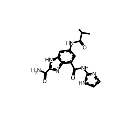 CC(C)C(=O)Nc1cc(C(=O)Nc2ncc[nH]2)c2nc(C(N)=O)[nH]c2c1